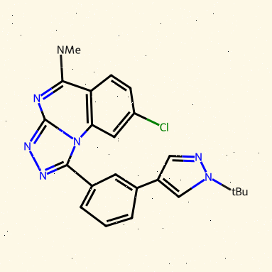 CNc1nc2nnc(-c3cccc(-c4cnn(C(C)(C)C)c4)c3)n2c2cc(Cl)ccc12